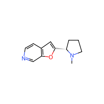 CN1CCC[C@H]1c1cc2ccncc2o1